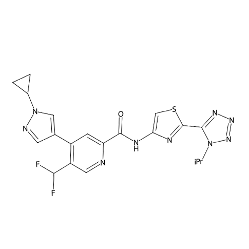 CC(C)n1nnnc1-c1nc(NC(=O)c2cc(-c3cnn(C4CC4)c3)c(C(F)F)cn2)cs1